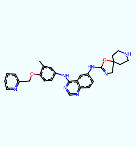 Cc1cc(Nc2ncnc3ccc(NC4=NCC5(CCNCC5)O4)cc23)ccc1OCc1ccccn1